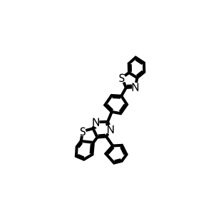 c1ccc(-c2nc(-c3ccc(-c4nc5ccccc5s4)cc3)nc3sc4ccccc4c23)cc1